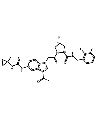 CC(=O)c1cn(CC(=O)N2C[C@H](F)C[C@H]2C(=O)NCc2cccc(Cl)c2F)c2ccc(NC(=O)NC3(C)CC3)cc12